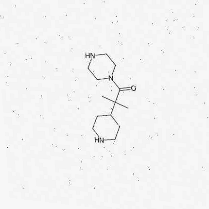 CC(C)(C(=O)N1CCNCC1)C1CCNCC1